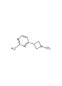 Cc1nccc(C2CN(C)C2)n1